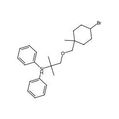 CC1(COCC(C)(C)[SiH](c2ccccc2)c2ccccc2)CCC(Br)CC1